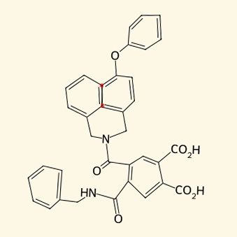 O=C(O)c1cc(C(=O)NCc2ccccc2)c(C(=O)N(Cc2ccccc2)Cc2ccc(Oc3ccccc3)cc2)cc1C(=O)O